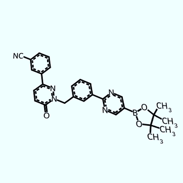 CC1(C)OB(c2cnc(-c3cccc(Cn4nc(-c5cccc(C#N)c5)ccc4=O)c3)nc2)OC1(C)C